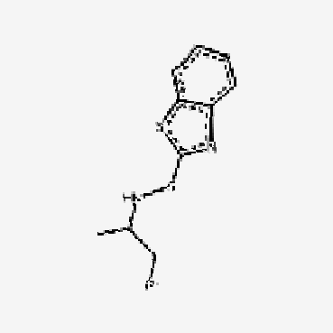 CC(C)CC(C)NSc1nc2ccccc2s1